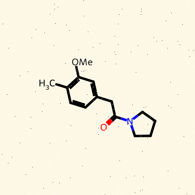 COc1cc(CC(=O)N2CCCC2)ccc1C